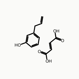 C=CCc1cccc(O)c1.O=C(O)C=CC(=O)O